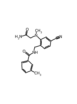 Cc1cccc(C(=O)NCc2ccc(C#N)cc2N(C)CC(N)=O)c1